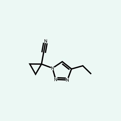 CCc1cn(C2(C#N)CC2)nn1